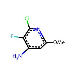 COc1cc(N)c(F)c(Cl)n1